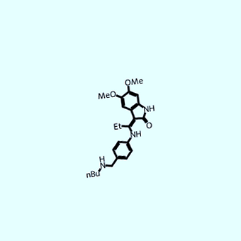 CCCCNCc1ccc(N/C(CC)=C2\C(=O)Nc3cc(OC)c(OC)cc32)cc1